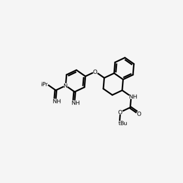 CC(C)C(=N)n1ccc(OC2CCC(NC(=O)OC(C)(C)C)c3ccccc32)cc1=N